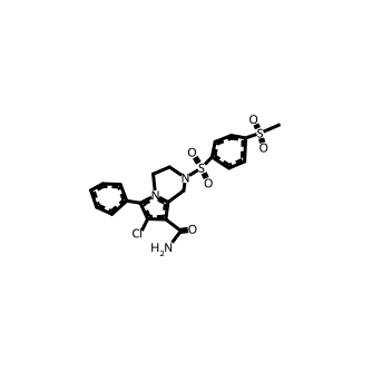 CS(=O)(=O)c1ccc(S(=O)(=O)N2CCn3c(c(C(N)=O)c(Cl)c3-c3ccccc3)C2)cc1